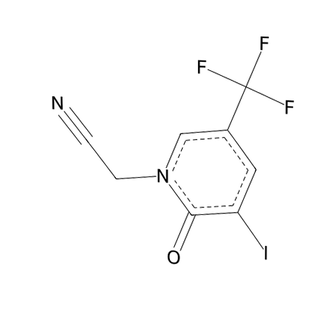 N#CCn1cc(C(F)(F)F)cc(I)c1=O